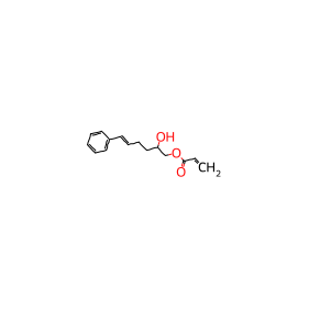 C=CC(=O)OCC(O)CCC=Cc1ccccc1